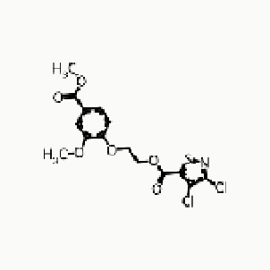 COC(=O)c1ccc(OCCOC(=O)c2snc(Cl)c2Cl)c(OC)c1